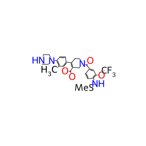 CSNc1ccc(C(=O)N2CCc3c(c(=O)oc4c(C)c(N5CCNCC5)ccc34)C2)cc1OC(F)(F)F